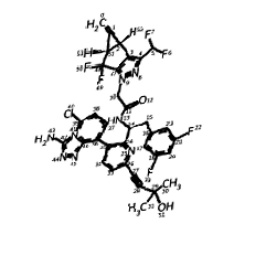 C=C1[C@@H]2c3c(C(F)F)nn(CC(=O)N[C@@H](Cc4cc(F)cc(F)c4)c4nc(C#CC(C)(C)O)ccc4-c4ccc(Cl)n5c(N)nnc45)c3C(F)(F)[C@H]12